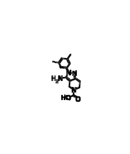 Cc1cc(C)cc(-n2nc3c(c2N)CN(C(=O)O)CC3)c1